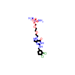 NOP(=O)(ON)OCOCCOCCn1ncc2nc(NCc3ccc(Cl)c(Cl)c3)[nH]c(=O)c21